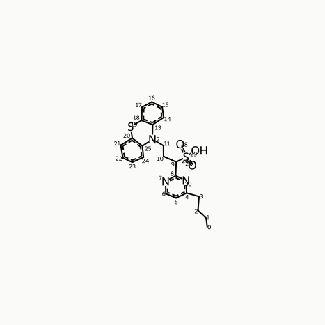 CCCCc1ccnc(C(CCN2c3ccccc3Sc3ccccc32)S(=O)(=O)O)n1